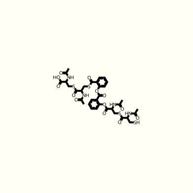 CC(=O)NC(CSC(=O)C(CSC(=O)c1ccccc1OC(=O)c1ccccc1OC(=O)C(CSC(=O)C(CS)NC(C)=O)NC(C)=O)NC(C)=O)C(=O)O